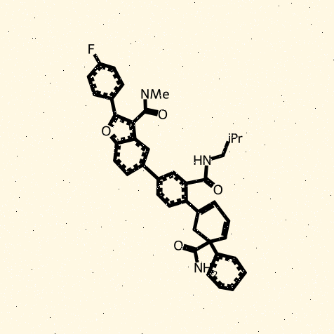 CNC(=O)c1c(-c2ccc(F)cc2)oc2ccc(-c3ccc(C4=CC=CC(C(N)=O)(c5ccccc5)C4)c(C(=O)NCC(C)C)c3)cc12